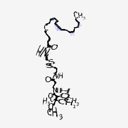 CC/C=C\C/C=C\C/C=C\C/C=C\CC=C=CCCC(=O)NCCSSCCNC(=O)CCNC(=O)C(OC)C(C)(C)COC